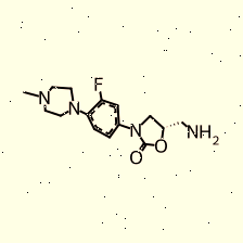 CN1CCN(c2ccc(N3C[C@H](CN)OC3=O)cc2F)CC1